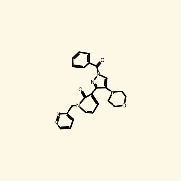 O=C(c1ccccc1)n1cc(N2CCOCC2)c(-c2cccn(Cc3cccnn3)c2=O)n1